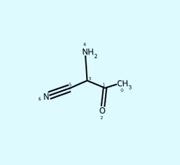 CC(=O)C(N)C#N